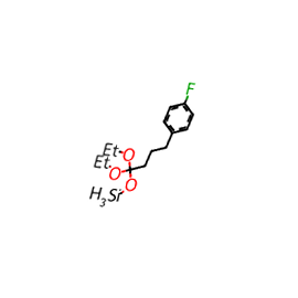 CCOC(CCCc1ccc(F)cc1)(O[SiH3])OCC